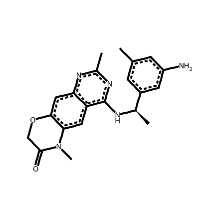 Cc1cc(N)cc([C@@H](C)Nc2nc(C)nc3cc4c(cc23)N(C)C(=O)CO4)c1